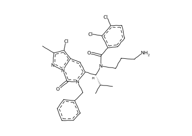 Cc1nn2c(=O)n(Cc3ccccc3)c([C@@H](C(C)C)N(CCCN)C(=O)c3cccc(Cl)c3Cl)cc2c1Cl